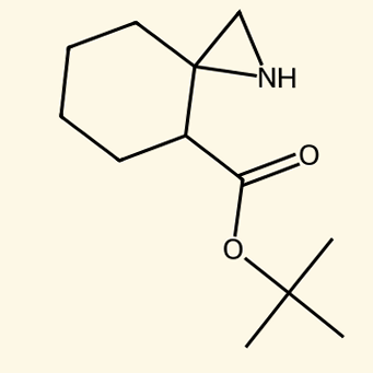 CC(C)(C)OC(=O)C1CCCCC12CN2